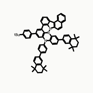 CC(C)(C)c1ccc(-c2cc3c4c(c2)N(c2ccc(-c5ccc6c(c5)C(C)(C)CCC6(C)C)cc2)c2ccc(-c5ccc6c(c5)C(C)(C)CCC6(C)C)cc2B4n2c4ccc5ccccc5c4c4cccc-3c42)cc1